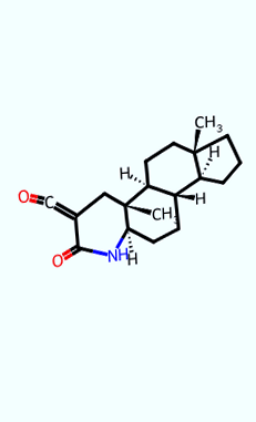 C[C@@]12CCC[C@H]1[C@@H]1CC[C@H]3NC(=O)C(=C=O)C[C@]3(C)[C@H]1CC2